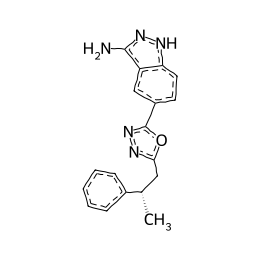 C[C@@H](Cc1nnc(-c2ccc3[nH]nc(N)c3c2)o1)c1ccccc1